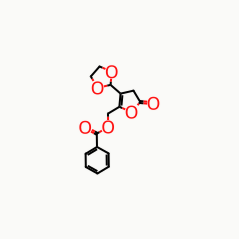 O=C1CC(C2OCCO2)=C(COC(=O)c2ccccc2)O1